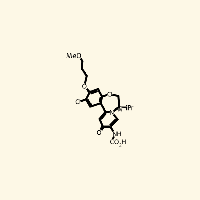 COCCCOc1cc2c(cc1Cl)-c1cc(=O)c(NC(=O)O)cn1[C@H](C(C)C)CO2